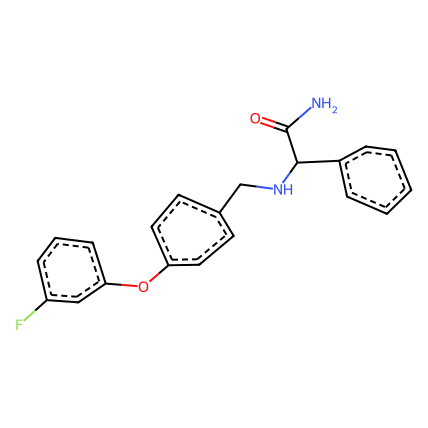 NC(=O)C(NCc1ccc(Oc2cccc(F)c2)cc1)c1ccccc1